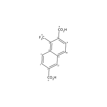 O=C(O)c1ccc2c(C(F)(F)F)c(C(=O)O)ccc2c1